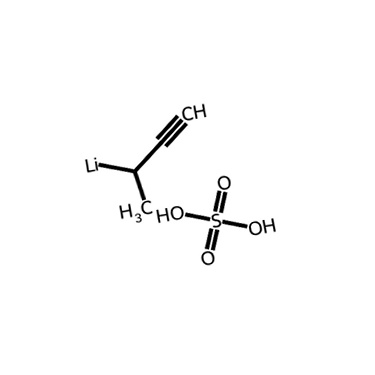 O=S(=O)(O)O.[Li][CH](C)C#C